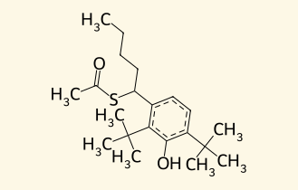 CCCCC(SC(C)=O)c1ccc(C(C)(C)C)c(O)c1C(C)(C)C